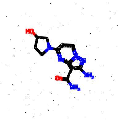 NC(=O)c1c(N)nn2ccc(N3CCC(O)C3)nc12